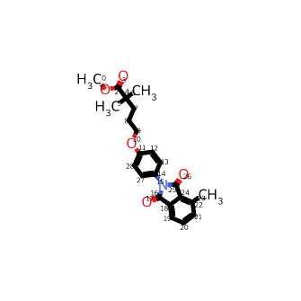 COC(=O)C(C)(C)CCCOc1ccc(N2C(=O)c3cccc(C)c3C2=O)cc1